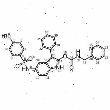 CC(C)(C)c1ccc(S(=O)(=O)Nc2ccc3[nH]c(OC(=O)NCc4ccccn4)c(-c4ccccc4)c3c2)cc1